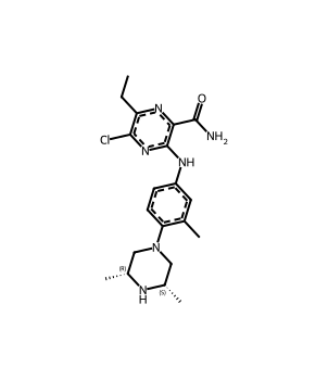 CCc1nc(C(N)=O)c(Nc2ccc(N3C[C@@H](C)N[C@@H](C)C3)c(C)c2)nc1Cl